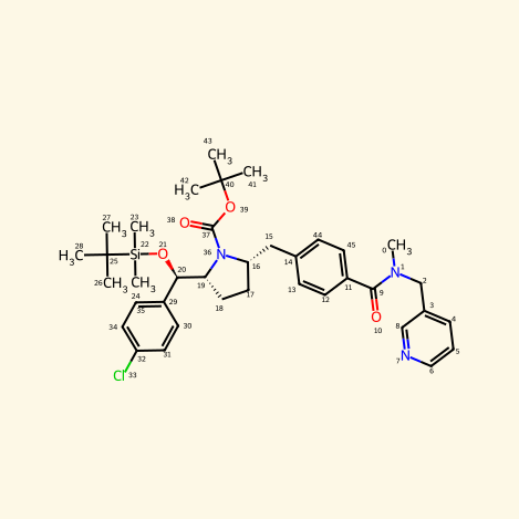 CN(Cc1cccnc1)C(=O)c1ccc(C[C@@H]2CC[C@H]([C@H](O[Si](C)(C)C(C)(C)C)c3ccc(Cl)cc3)N2C(=O)OC(C)(C)C)cc1